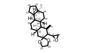 C=C1C(C2CO2)C2(C[C@@H]3CC[C@H]4[C@@H]5CCC[C@@]5(C)CC[C@@H]4[C@@]13C)OCCO2